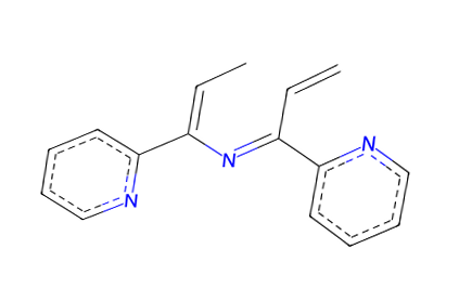 C=C/C(=N\C(=C/C)c1ccccn1)c1ccccn1